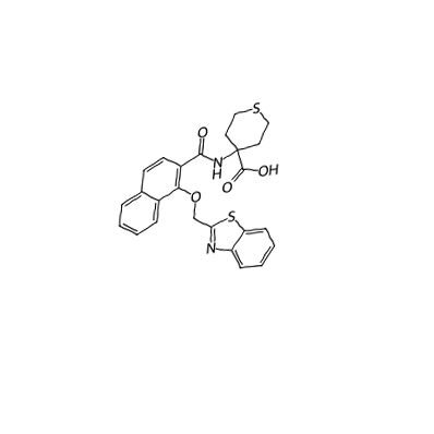 O=C(NC1(C(=O)O)CCSCC1)c1ccc2ccccc2c1OCc1nc2ccccc2s1